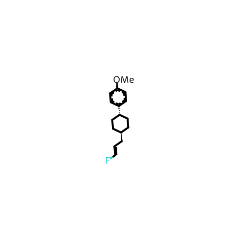 COc1ccc([C@H]2CC[C@H](CC=CF)CC2)cc1